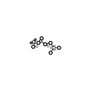 c1ccc(-c2nc(-c3ccccc3)nc(-c3cccc4c3oc3ccc(-n5c6ccccc6c6cc7c(cc65)Oc5ccccc5C75c6ccccc6-c6ccccc65)cc34)n2)cc1